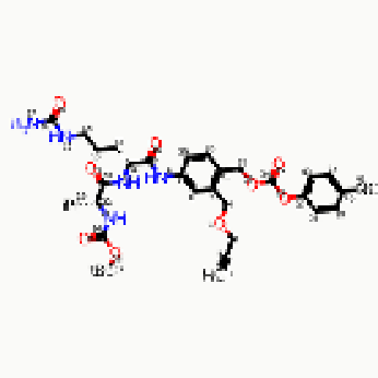 C#CCOCc1cc(NC(=O)[C@@H](CCCNC(N)=O)NC(=O)[C@H](NC(=O)OC(C)(C)C)C(C)C)ccc1COC(=O)Oc1ccc([N+](=O)[O-])cc1